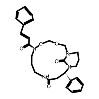 O=C1C[C@@H](c2ccccc2)N2CCCN(CCCCN(C(=O)/C=C/c3ccccc3)CCCN1)C2=O